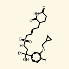 CCC(O)(CNS(=O)(=O)C/C=C/CC1CCC(=O)NC1=O)c1ccc(F)c(OCC2CC2)c1